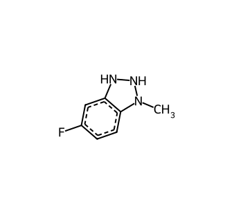 CN1NNc2cc(F)ccc21